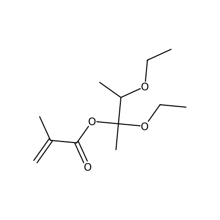 C=C(C)C(=O)OC(C)(OCC)C(C)OCC